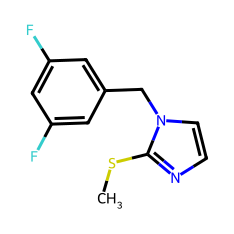 CSc1nccn1Cc1cc(F)cc(F)c1